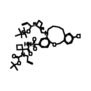 C=CCN(C(=O)OC(C)(C)C)C1(C(=O)NS(=O)(=O)c2ccc3c(c2)N(C[C@@H]2CC[C@H]2C(C=C)O[Si](C)(C)C(C)(C)C)CCCCc2cc(Cl)ccc2CO3)CCC1